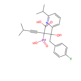 CC(C)C#CC(C(=O)O)([PH](=O)O)C(O)(Cc1ccc(F)cc1)c1cccc(C(C)C)n1